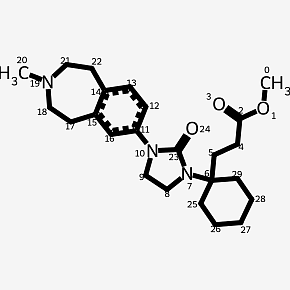 COC(=O)CCC1(N2CCN(c3ccc4c(c3)CCN(C)CC4)C2=O)CCCCC1